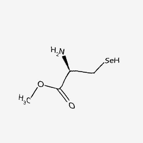 COC(=O)[C@@H](N)C[SeH]